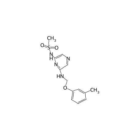 Cc1cccc(OCNc2cncc(NS(C)(=O)=O)n2)c1